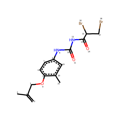 C=C(C)COc1ccc(NC(=O)NC(=O)C(Br)CBr)cc1C